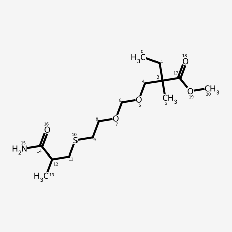 CCC(C)(COCOCCSCC(C)C(N)=O)C(=O)OC